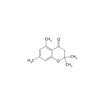 Cc1cc(C)c2c(c1)OC(C)(C)CC2=O